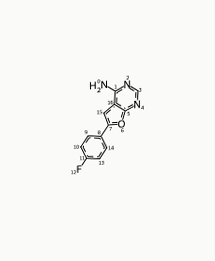 Nc1ncnc2oc(-c3ccc(F)cc3)cc12